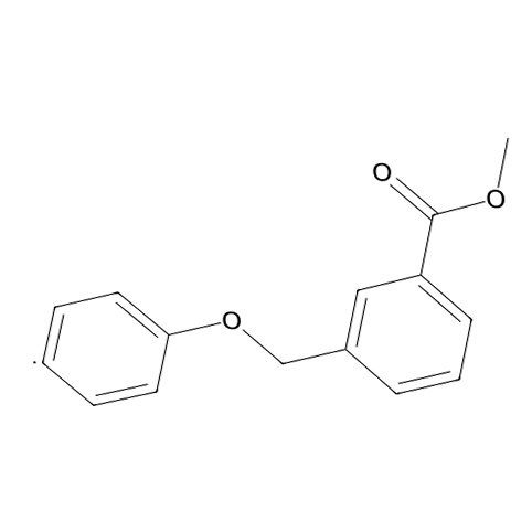 COC(=O)c1cccc(COc2cc[c]cc2)c1